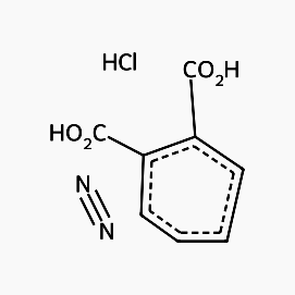 Cl.N#N.O=C(O)c1ccccc1C(=O)O